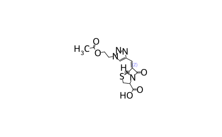 CC(=O)OCCn1cc(/C=C2/C(=O)N3C(C(=O)O)CS[C@H]23)nn1